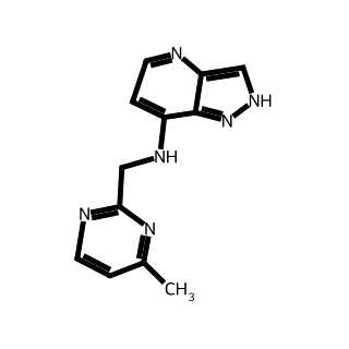 Cc1ccnc(CNc2ccnc3c[nH]nc23)n1